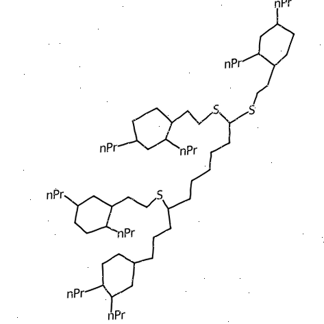 CCCC1CCC(CCSC(CCCCCC(CCCC2CCC(CCC)C(CCC)C2)SCCC2CC(CCC)CCC2CCC)SCCC2CCC(CCC)CC2CCC)C(CCC)C1